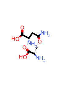 C[C@H](N)C(=O)O.NC(=O)C[C@H](N)C(=O)O